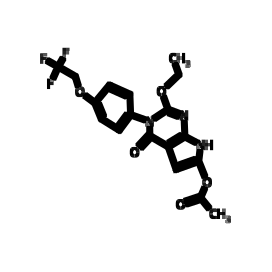 CCOc1nc2[nH]c(OC(C)=O)cc2c(=O)n1-c1ccc(OCC(F)(F)F)cc1